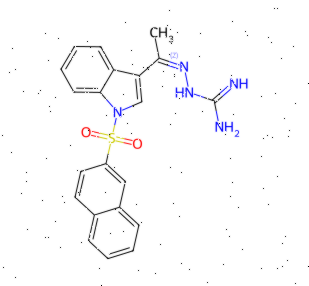 C/C(=N/NC(=N)N)c1cn(S(=O)(=O)c2ccc3ccccc3c2)c2ccccc12